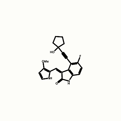 COc1cc[nH]c1C=C1C(=O)Nc2ccc(F)c(C#CC3(O)CCCC3)c21